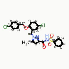 Cc1cc(C(=O)NS(=O)(=O)c2ccccc2)nn1Cc1cc(Cl)ccc1OCc1ccc(Cl)cc1